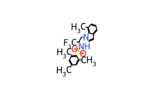 Cc1cc(C)c(S(=O)(=O)NC(Cn2ccc3cccc(C)c32)C(F)(F)F)c(C)c1